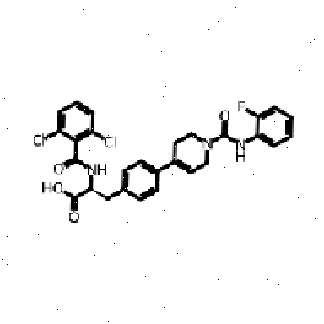 O=C(N[C@@H](Cc1ccc(C2=CCN(C(=O)Nc3ccccc3F)CC2)cc1)C(=O)O)c1c(Cl)cccc1Cl